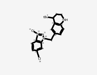 CC(C)(C)C1CCNc2ccc(Cn3n[n+]([O-])c4ccc(Cl)cc43)cc21